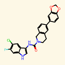 O=C(Nc1c[nH]c2cc(F)c(Cl)cc12)N1CCc2cc(-c3ccc4c(c3)OCO4)ccc2C1